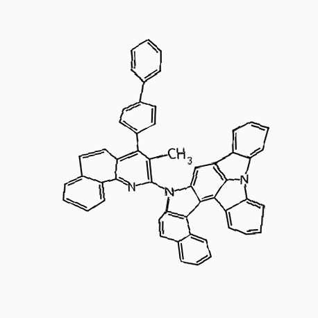 Cc1c(-n2c3ccc4ccccc4c3c3c4c5ccccc5n5c6ccccc6c(cc32)c45)nc2c(ccc3ccccc32)c1-c1ccc(-c2ccccc2)cc1